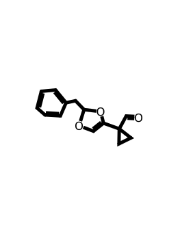 O=CC1(C2=COC(Cc3ccccc3)O2)CC1